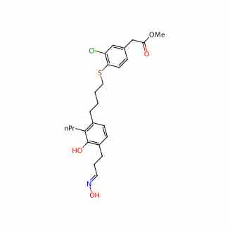 CCCc1c(CCCCSc2ccc(CC(=O)OC)cc2Cl)ccc(CCC=NO)c1O